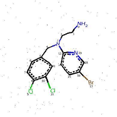 NCCN(Cc1ccc(Cl)c(Cl)c1)c1ccc(Br)cn1